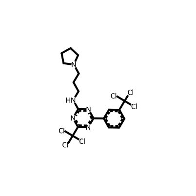 ClC(Cl)(Cl)c1cccc(-c2nc(NCCCN3CCCC3)nc(C(Cl)(Cl)Cl)n2)c1